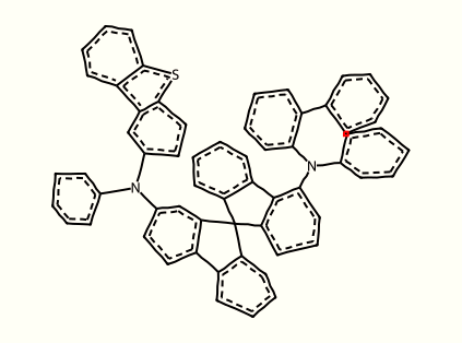 c1ccc(-c2ccccc2N(c2ccccc2)c2cccc3c2-c2ccccc2C32c3ccccc3-c3ccc(N(c4ccccc4)c4ccc5sc6ccccc6c5c4)cc32)cc1